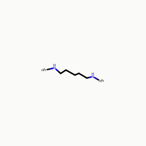 CCCNCCCCCNCCC